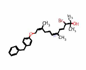 CC(=CCOc1ccc(Cc2ccccc2)cc1)CC/C=C(/C)CCC(Br)C(C)(C)O